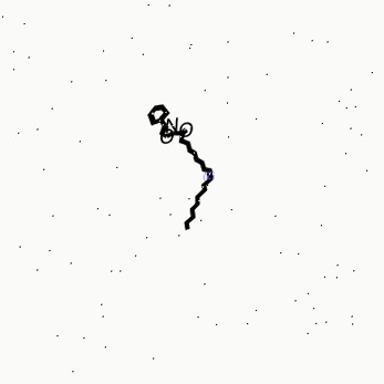 CCCCCCCC/C=C\CCCCCCCC(=O)c1nc(-c2ccccc2)co1